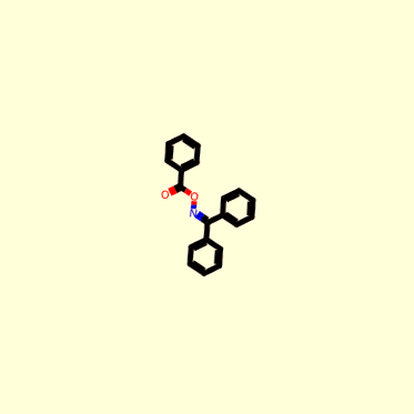 O=C(ON=C(c1ccccc1)c1ccccc1)c1ccccc1